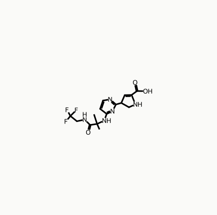 CC(C)(Nc1ccnc(C2C=C(C(=O)O)NC2)n1)C(=O)NCC(F)(F)F